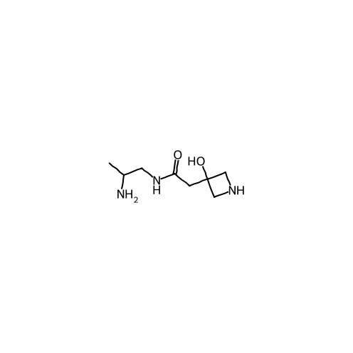 CC(N)CNC(=O)CC1(O)CNC1